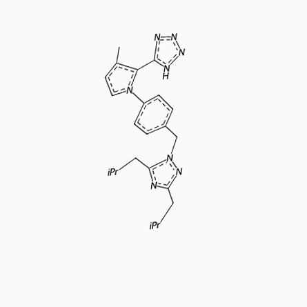 Cc1ccn(-c2ccc(Cn3nc(CC(C)C)nc3CC(C)C)cc2)c1-c1nnn[nH]1